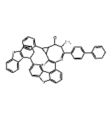 CC/C1=C(c2cccc3oc4ccc(C5CC=Cc6oc7ccccc7c65)cc4c23)/N=C(/c2ccc(C3=CCCC=C3)cc2)C(C)C(C)C2C1C2c1ccccc1